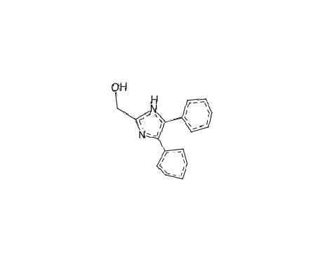 OCc1nc(-c2ccccc2)c(-c2ccccc2)[nH]1